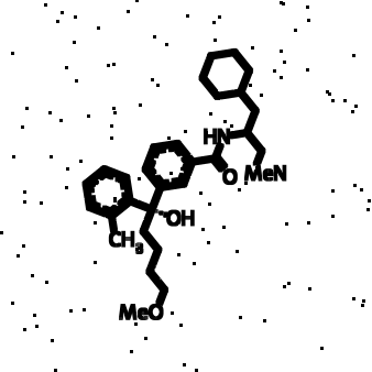 CNCC(CC1CCCCC1)NC(=O)c1cccc([C@@](O)(CCCCOC)c2ccccc2C)c1